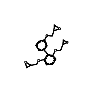 c1cc(OCC2CO2)cc(-c2c(OCC3CO3)cccc2OCC2CO2)c1